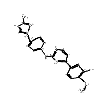 COc1ccc(-c2ccnc(Nc3ccc(-n4cnc(C)n4)cc3)n2)cc1F